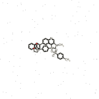 Cc1ccc(S(=O)(=O)O[N+]2(c3ccc(N4CCCC4=O)cc3)C(=O)N(C)c3cnc4ccc(-c5cnc6ccccc6c5)cc4c32)cc1